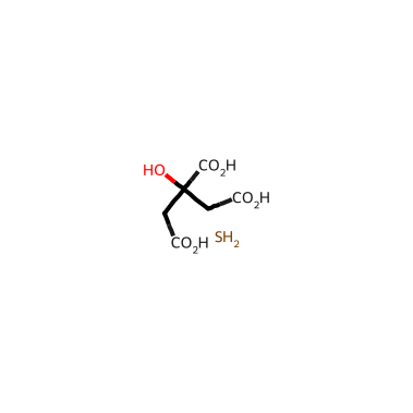 O=C(O)CC(O)(CC(=O)O)C(=O)O.S